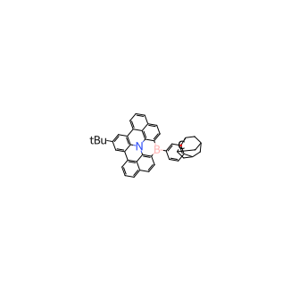 CC(C)(C)c1cc2c3c(c1)-c1cccc4ccc5c(c14)N3c1c(ccc3cccc-2c13)B5c1ccc2c(c1)C1CC3CC(CC2C3)C1